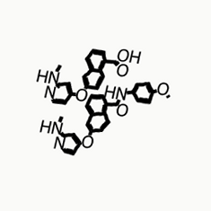 CNc1cc(Oc2ccc3c(C(=O)Nc4ccc(OC)cc4)cccc3c2)ccn1.CNc1cc(Oc2ccc3c(C(=O)O)cccc3c2)ccn1